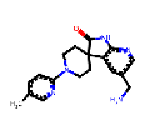 Cc1ccc(N2CCC3(CC2)C(=O)Nc2ncc(CN)cc23)nc1